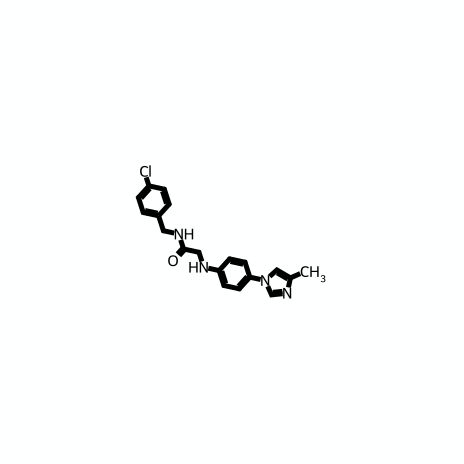 Cc1cn(-c2ccc(NCC(=O)NCc3ccc(Cl)cc3)cc2)cn1